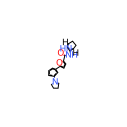 O=C(N[C@@H]1C[C@H]2CC[C@@H]1N2)c1ccc(-c2cccc(N3CCCC3)c2)o1